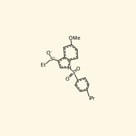 [CH2]C[S+]([O-])c1cn(S(=O)(=O)c2ccc(C(C)C)cc2)c2ccc(OC)cc12